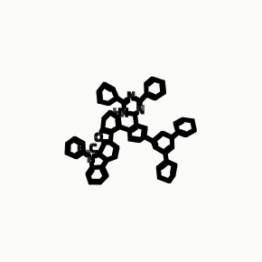 CC12c3oc4c(c3C=CC1c1ccccc1N2c1ccccc1)C(c1ccc(C2=CC(C3=CCCC=C3)=CC(C3=CCCC=C3)C2)cc1C1N=C(c2ccccc2)N=C(C2C=CC=CC2)N1)=CCC4